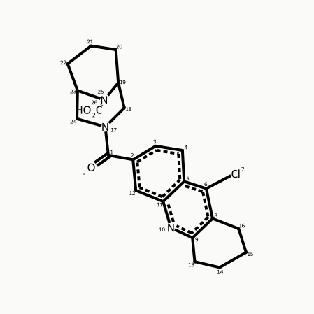 O=C(c1ccc2c(Cl)c3c(nc2c1)CCCC3)N1CC2CCCC(C1)N2C(=O)O